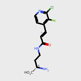 N[C@@H](CCNC(=O)/C=C/c1ccnc(Cl)c1F)C(=O)O